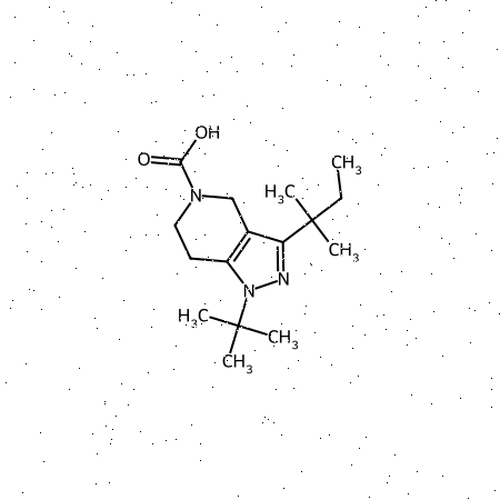 CCC(C)(C)c1nn(C(C)(C)C)c2c1CN(C(=O)O)CC2